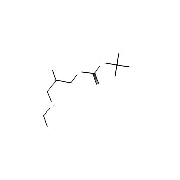 CCNCC(C)CNC(=O)OC(C)(C)C